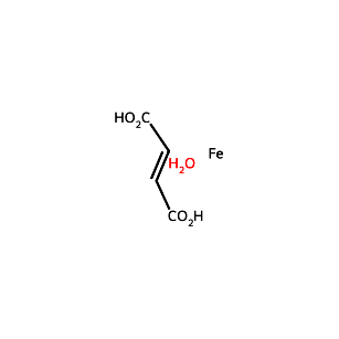 O.O=C(O)/C=C/C(=O)O.[Fe]